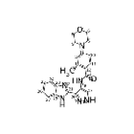 Cc1cc(N2CCOCC2)ccc1C(=O)Nc1c[nH]nc1-c1nc2ccccc2[nH]1